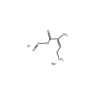 CCC=C(C)C(=O)OP=O.[Cl-].[Na+]